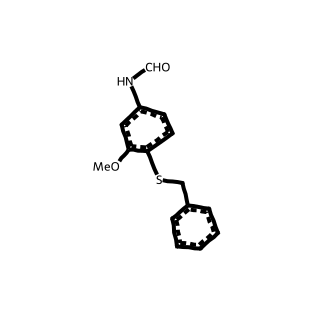 COc1cc(NC=O)ccc1SCc1ccccc1